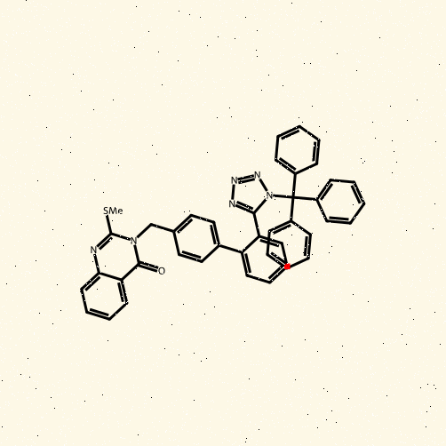 CSc1nc2ccccc2c(=O)n1Cc1ccc(-c2ccccc2-c2nnnn2C(c2ccccc2)(c2ccccc2)c2ccccc2)cc1